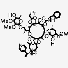 C=C(NN1CC(C)O[C@@H](O[C@H]2[C@H](C)[C@@H](O[C@@H]3O[C@H](C)CC(=NOC)[C@H]3O)[C@@H](C)C[C@](C)(OC(=O)NCc3ccccc3)C(=O)[C@H](C)[C@H](OC(=O)CC(C)C)[C@@H](C)C([C@@H](C)CO[C@@H]3O[C@H](C)[C@@H](O)[C@@H](OC)[C@H]3OC)OC(=O)[C@@H]2C)C[C@@H]1C)c1ccncc1